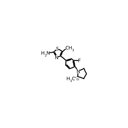 Cc1sc(N)nc1-c1ccc(N2CCC[C@@H]2C)c(F)c1